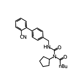 CCCCC(=O)N(C(=O)NCc1ccc(-c2ccccc2C#N)cc1)C1CCCC1